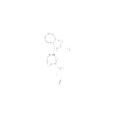 C=CCNc1nccc(-n2c(C#N)nc3ccccc32)n1